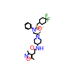 Cc1noc(C)c1CC(=O)NC1CCN([C@H](C)CN(c2ccccc2)[S+]([O-])CC2CCC(F)(F)CC2)CC1